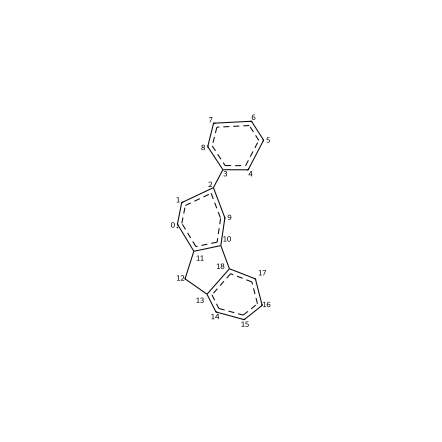 [c]1cc(-c2ccccc2)cc2c1Cc1ccccc1-2